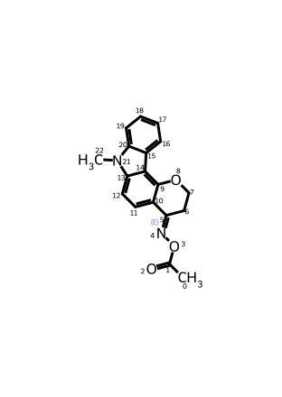 CC(=O)O/N=C1\CCOc2c1ccc1c2c2ccccc2n1C